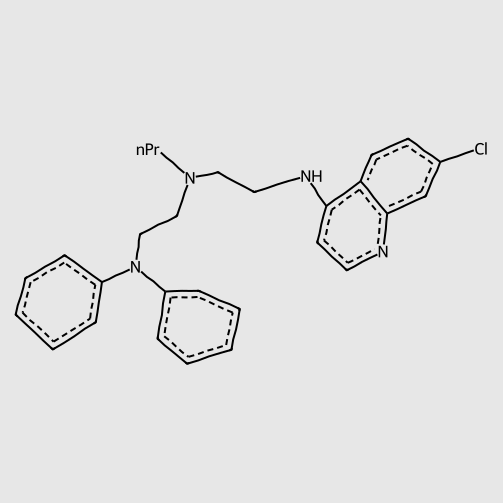 CCCN(CCNc1ccnc2cc(Cl)ccc12)CCN(c1ccccc1)c1ccccc1